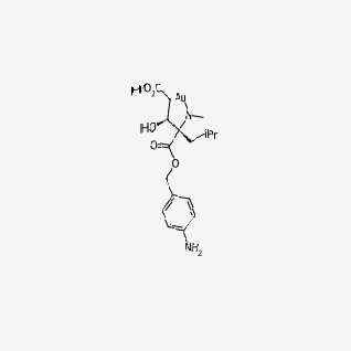 CC(C)C[C@@](C(=O)OCc1ccc(N)cc1)([C@@H](O)CC(=O)O)[N](C)[Au]